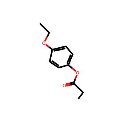 [CH2]CC(=O)Oc1ccc(OCC)cc1